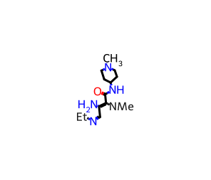 CC/N=C\C(N)=C(/NC)C(=O)NC1CCN(C)CC1